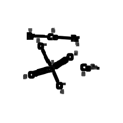 O=S(=O)([O-])[O-].[Br][Co][Br].[Co+2]